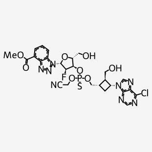 COC(=O)c1cccc2c1nnn2[C@@H]1O[C@H](CO)[C@@H](OP(=S)(OCC#N)OC[C@H]2C[C@@H](n3cnc4c(Cl)ncnc43)[C@@H]2CO)[C@H]1F